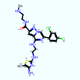 CCCNCCNC(=O)c1cc2c(NCCNc3nc(N)c(C#N)s3)nc(-c3ccc(Cl)cc3Cl)cn2n1